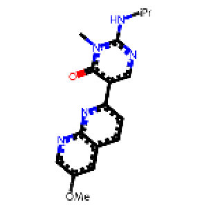 COc1cnc2nc(-c3cnc(NC(C)C)n(C)c3=O)ccc2c1